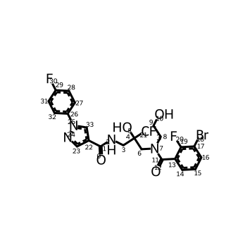 O=C(NCC(O)(CN(CCO)C(=O)c1cccc(Br)c1F)C(F)(F)F)c1cnn(-c2ccc(F)cc2)c1